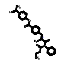 CCOC(=O)N(C(=O)/C(C)=C/c1ccc(C(=O)Oc2ccc(C(=N)N)cc2)cc1)c1ccccc1